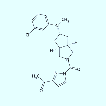 CC(=O)c1ccn(C(=O)N2C[C@H]3C[C@H](N(C)c4cccc(Cl)c4)C[C@H]3C2)n1